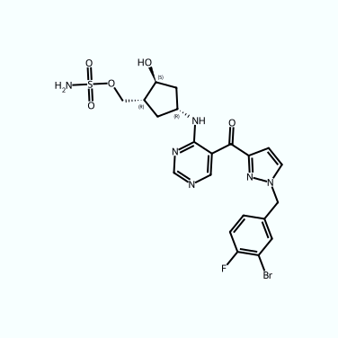 NS(=O)(=O)OC[C@H]1C[C@@H](Nc2ncncc2C(=O)c2ccn(Cc3ccc(F)c(Br)c3)n2)C[C@@H]1O